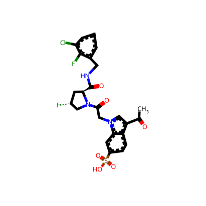 CC(=O)c1cn(CC(=O)N2C[C@H](F)C[C@H]2C(=O)NCc2cccc(Cl)c2F)c2cc(S(=O)(=O)O)ccc12